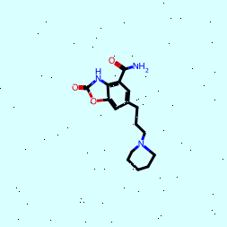 NC(=O)c1cc(C[CH]CN2CCCCC2)cc2oc(=O)[nH]c12